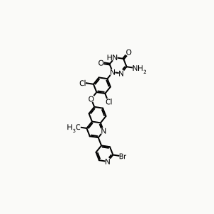 Cc1cc(-c2ccnc(Br)c2)nc2ccc(Oc3c(Cl)cc(-n4nc(N)c(=O)[nH]c4=O)cc3Cl)cc12